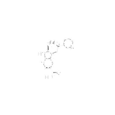 C=C(/C=c1\c(=C/N)[nH]c2ncc(C(=O)O)cc12)c1cccnc1